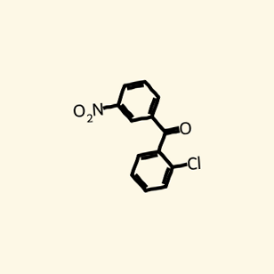 O=C(c1cccc([N+](=O)[O-])c1)c1ccccc1Cl